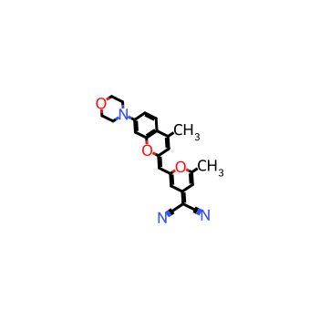 CC1=CC(=C(C#N)C#N)C=C(/C=C2\C=C(C)c3ccc(N4CCOCC4)cc3O2)O1